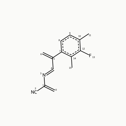 C=C(C#N)/N=C/C(=C)c1ccc(C)c(F)c1C